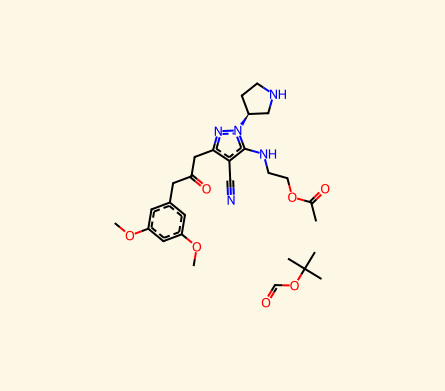 CC(C)(C)OC=O.COc1cc(CC(=O)Cc2nn([C@H]3CCNC3)c(NCCOC(C)=O)c2C#N)cc(OC)c1